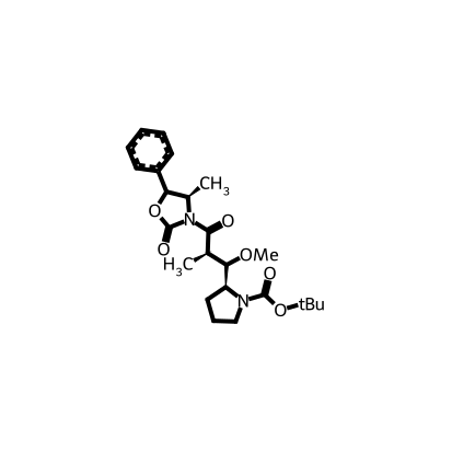 COC([C@@H](C)C(=O)N1C(=O)OC(c2ccccc2)[C@H]1C)[C@@H]1CCCN1C(=O)OC(C)(C)C